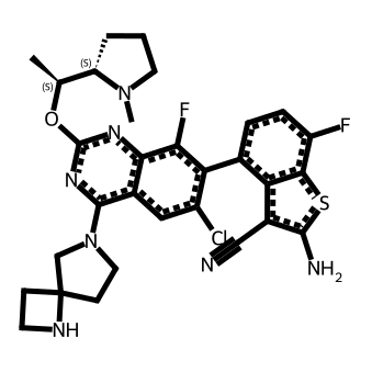 C[C@H](Oc1nc(N2CCC3(CCN3)C2)c2cc(Cl)c(-c3ccc(F)c4sc(N)c(C#N)c34)c(F)c2n1)[C@@H]1CCCN1C